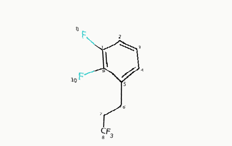 Fc1cccc([CH]CC(F)(F)F)c1F